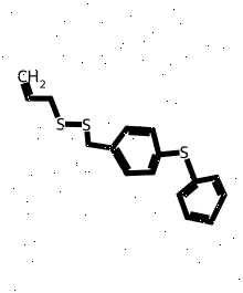 C=CCSSCc1ccc(Sc2ccccc2)cc1